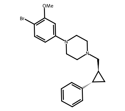 COc1cc(N2CCN(C[C@H]3C[C@@H]3c3ccccc3)CC2)ccc1Br